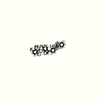 C[C@@H](Oc1c(N)ncc2c(-c3cccc(NS(=O)(=O)c4ccccc4)c3)coc12)c1c(Cl)ccc(F)c1Cl